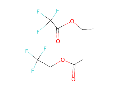 CC(=O)OCC(F)(F)F.CCOC(=O)C(F)(F)F